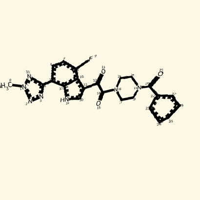 Cn1nnc(-c2ccc(F)c3c(C(=O)C(=O)N4CCN(C(=O)c5ccccc5)CC4)c[nH]c23)n1